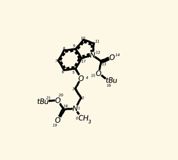 CN(CCOc1cccc2ccn(C(=O)OC(C)(C)C)c12)C(=O)OC(C)(C)C